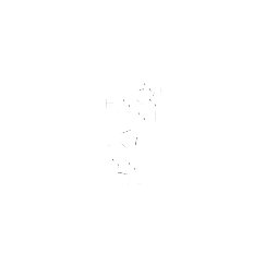 Cn1cc(C(F)(F)F)nc1-c1ccc(CNc2nc(Cl)ncc2N)cc1F